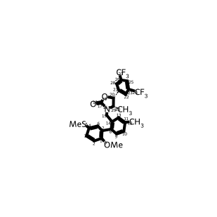 COc1ccc(SC)cc1-c1ccc(C)cc1CN1C(=O)O[C@H](c2cc(C(F)(F)F)cc(C(F)(F)F)c2)[C@@H]1C